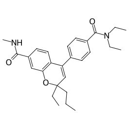 CCCC1(CC)C=C(c2ccc(C(=O)N(CC)CC)cc2)c2ccc(C(=O)NC)cc2O1